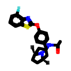 CC(=O)N[C@H]1C[C@H]2CC[C@@H](C1)N2Cc1ccc(Oc2nc3c(F)cccc3s2)cc1